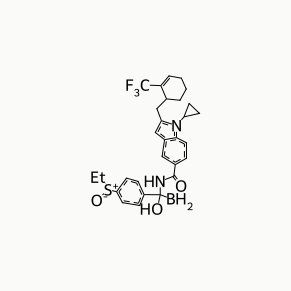 BC(O)(NC(=O)c1ccc2c(c1)cc(CC1CCCC=C1C(F)(F)F)n2C1CC1)c1ccc([S+]([O-])CC)cc1